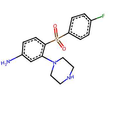 Nc1ccc(S(=O)(=O)c2ccc(F)cc2)c(N2CCNCC2)c1